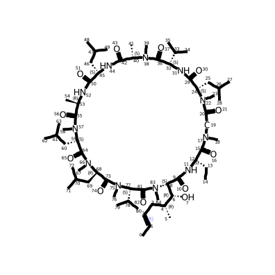 C/C=C/C[C@@H](C)[C@@H](O)[C@H]1C(=O)N[C@@H](CC)C(=O)N(C)CC(=O)N(C)[C@@H](CC(C)C)C(=O)N[C@@H](C(C)C)C(=O)N(C)[C@@H](C)C(=O)N[C@@H](CC(C)C)C(=O)N[C@H](C)C(=O)N(C)[C@@H](CC(C)C)C(=O)N(C)[C@H](CC(C)C)C(=O)N(C)[C@@H](C(C)C)C(=O)N1C